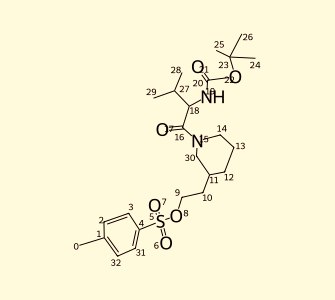 Cc1ccc(S(=O)(=O)OCCC2CCCN(C(=O)C(NC(=O)OC(C)(C)C)C(C)C)C2)cc1